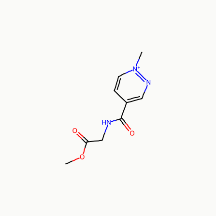 COC(=O)CNC(=O)c1cc[n+](C)nc1